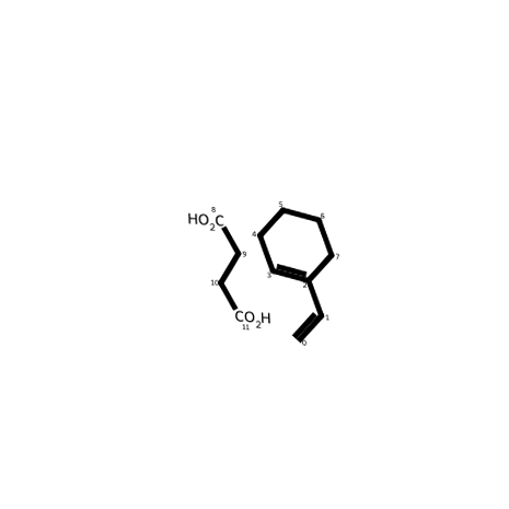 C=CC1=CCCCC1.O=C(O)CCC(=O)O